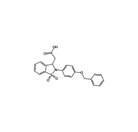 O=C(O)CC1c2ccccc2S(=O)(=O)N1c1ccc(OCc2ccccc2)cc1